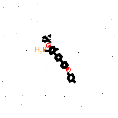 CCC(CC)(CC)COc1cc(C)c(-c2ccc(-c3ccc(OCC4CCC(C)CC4)cc3)cc2)cc1CP